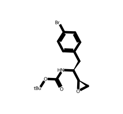 CC(C)(C)OC(=O)N[C@@H](Cc1ccc(Br)cc1)[C@H]1CO1